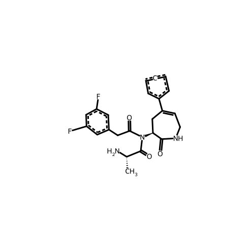 C[C@H](N)C(=O)N(C(=O)Cc1cc(F)cc(F)c1)[C@H]1CC(c2ccccc2)=CCNC1=O